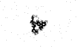 COCc1ccnn1CC(c1ccc(-c2c(-n3cnnn3)ccc(Cl)c2F)c[n+]1[O-])n1cc(-c2ccnc(C(F)(F)F)c2)cn1